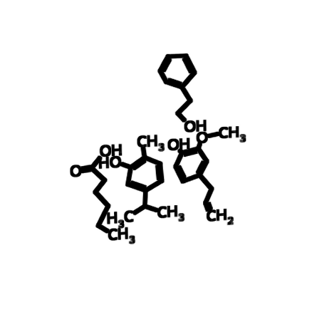 C=CCc1ccc(O)c(OC)c1.CCCCCC(=O)O.Cc1ccc(C(C)C)cc1O.OCCc1ccccc1